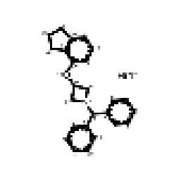 Cl.c1ccc(C(c2ccccc2)N2CC(Oc3cccc4c3CCC4)C2)cc1